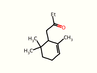 CCC(=O)CC1C(C)=CCCC1(C)C